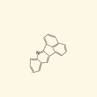 [c]1ccc2nc3c(cc2c1)-c1cccc2cccc-3c12